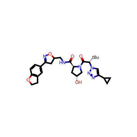 CC(C)(C)[C@@H](C(=O)N1C[C@H](O)C[C@H]1C(=O)NCC1CC(c2ccc3c(c2)CCO3)=NO1)n1cc(C2CC2)nn1